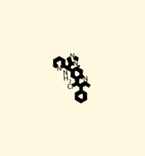 Cc1nc2ccc(C(N)(c3ccccn3)c3cncn3C)cc2c(Cl)c1-c1ccccc1